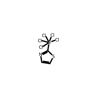 [Cl][Ir]([Cl])([Cl])([Cl])([Cl])[c]1nccs1